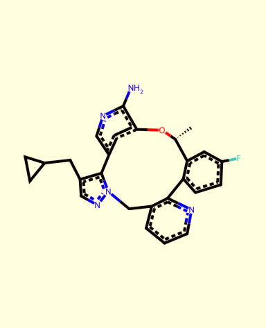 C[C@H]1Oc2cc(cnc2N)-c2c(CC3CC3)cnn2Cc2cccnc2-c2ccc(F)cc21